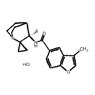 Cc1coc2ccc(C(=O)N[C@@H]3C4CCN(CC4)C34CC4)cc12.Cl